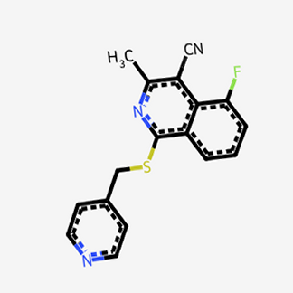 Cc1nc(SCc2ccncc2)c2cccc(F)c2c1C#N